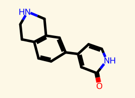 O=c1cc(-c2ccc3c(c2)CNCC3)cc[nH]1